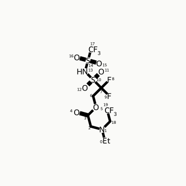 CCN(CC(=O)OCC(F)(F)S(=O)(=O)NS(=O)(=O)C(F)(F)F)CC(F)(F)F